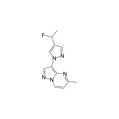 Cc1ccn2ncc(-n3cc(C(C)F)cn3)c2n1